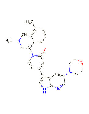 Cc1cccc([C@@H](CN(C)C)n2ccc(-c3c[nH]c4ncc(N5CCOCC5)cc34)cc2=O)c1